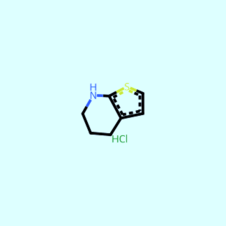 Cl.c1cc2c(s1)NCCC2